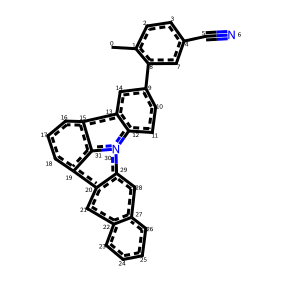 Cc1ccc(C#N)cc1-c1ccc2c(c1)c1cccc3c4cc5ccccc5cc4n2c13